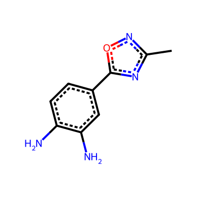 Cc1noc(-c2ccc(N)c(N)c2)n1